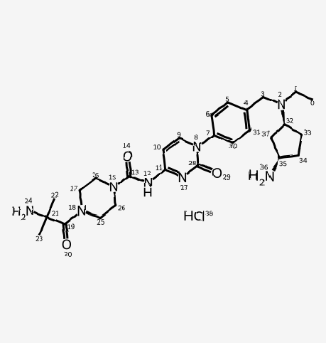 CCN(Cc1ccc(-n2ccc(NC(=O)N3CCN(C(=O)C(C)(C)N)CC3)nc2=O)cc1)[C@H]1CC[C@@H](N)C1.Cl